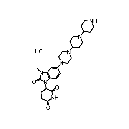 Cl.Cn1c(=O)n(C2CCC(=O)NC2=O)c2ccc(N3CCN(C4CCN(C5CCNCC5)CC4)CC3)cc21